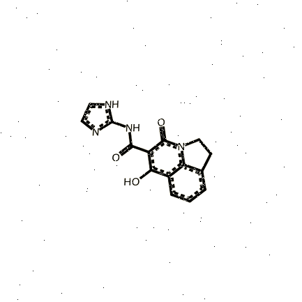 O=C(Nc1ncc[nH]1)c1c(O)c2cccc3c2n(c1=O)CC3